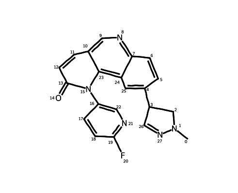 CN1CC(c2ccc3ncc4ccc(=O)n(-c5ccc(F)nc5)c4c3c2)C=N1